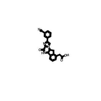 N#Cc1cccc(-c2cn3c4c([nH]c(=O)c3n2)-c2cccc(CC(=O)O)c2C4)c1